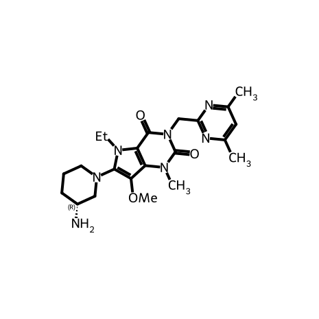 CCn1c(N2CCC[C@@H](N)C2)c(OC)c2c1c(=O)n(Cc1nc(C)cc(C)n1)c(=O)n2C